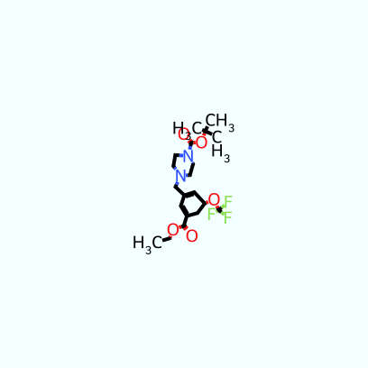 CCOC(=O)C1=CC(CN2CCN(C(=O)OC(C)(C)C)CC2)=CC(OC(F)(F)F)C1